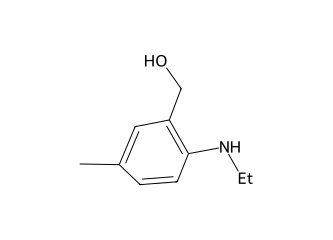 CCNc1ccc(C)cc1CO